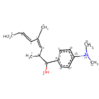 CC(C=CC(=O)O)=CC(C)C(O)c1ccc(N(C)C)cc1